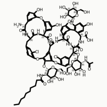 CCCCCCCCCC(=O)N[C@H]1[C@H](Oc2c3cc4cc2Oc2ccc(cc2Cl)[C@@H](O[C@@H]2O[C@H](CO)[C@@H](O)[C@H](O)[C@H]2NC(C)=O)[C@@H]2NC(=O)[C@H](NC(=O)C4NC(=O)[C@H]4NC(=O)[C@@H](Cc5ccc(c(Cl)c5)O3)NC(=O)[C@H](N)c3ccc(O)c(c3)Oc3cc(O)cc4c3)c3ccc(O)c(c3)-c3c(O[C@H]4O[C@H](CO)[C@@H](O)[C@H](O)[C@@H]4O)cc(O)cc3[C@H](C(=O)O)NC2=O)O[C@H](CO)[C@@H](O)[C@@H]1O